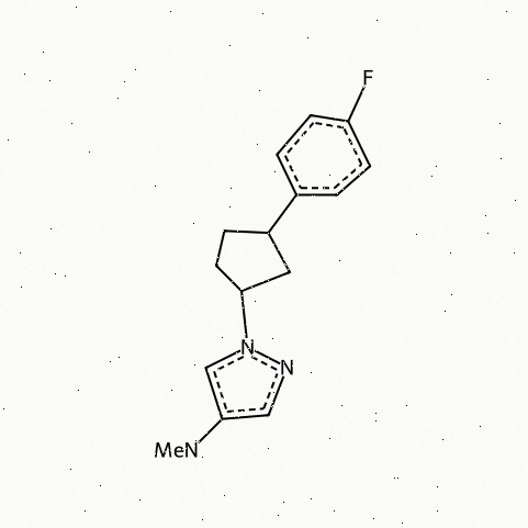 CNc1cnn(C2CCC(c3ccc(F)cc3)C2)c1